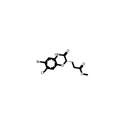 COC(=O)CC[C@@H]1Oc2cc(Cl)c(Br)cc2NC1=O